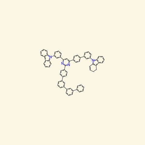 C1=Cc2c(c3ccccc3n2-c2cccc(-c3ccc(-c4cc(-c5cccc(-n6c7ccccc7c7ccccc76)c5)nc(-c5ccc(-c6cccc(-c7cccc(-c8ccccc8)c7)c6)cc5)n4)cc3)c2)CC1